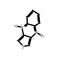 [O-][n+]1c2ccccc2[n+]([O-])c2cscc21